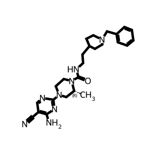 C[C@@H]1CN(c2ncc(C#N)c(N)n2)CCN1C(=O)NCCC1CCN(Cc2ccccc2)CC1